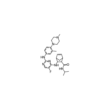 Cc1cc(Nc2ncc(F)c(NC3C4C=CC(C4)C3C(=O)NC(C)C)n2)ccc1N1CCN(C)CC1